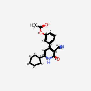 CC(=O)Oc1cccc(-c2cc(C3CCCCC3)[nH]c(=O)c2C#N)c1